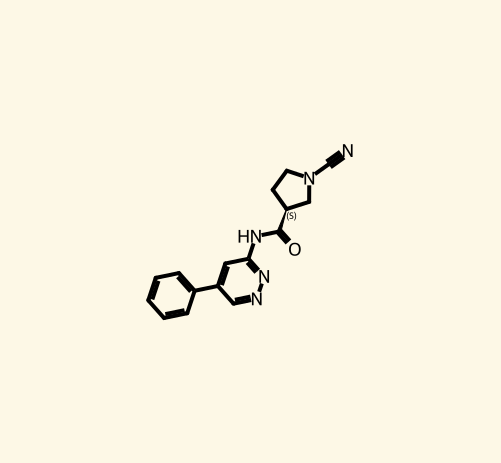 N#CN1CC[C@H](C(=O)Nc2cc(-c3ccccc3)cnn2)C1